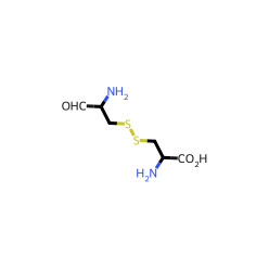 NC(C=O)CSSCC(N)C(=O)O